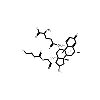 CCCCC(=O)OCC(=O)[C@H]1[C@H](C)C[C@H]2[C@@H]3C[C@H](F)C4=CC(=O)C=C[C@]4(C)[C@@]3(F)[C@@H](OC(=O)CCC(N)C(=O)O)C[C@@]21C